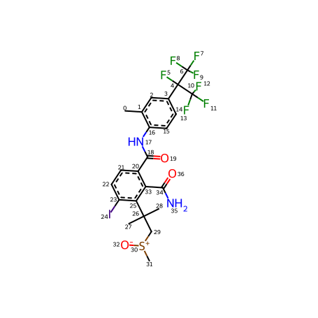 Cc1cc(C(F)(C(F)(F)F)C(F)(F)F)ccc1NC(=O)c1ccc(I)c(C(C)(C)C[S+](C)[O-])c1C(N)=O